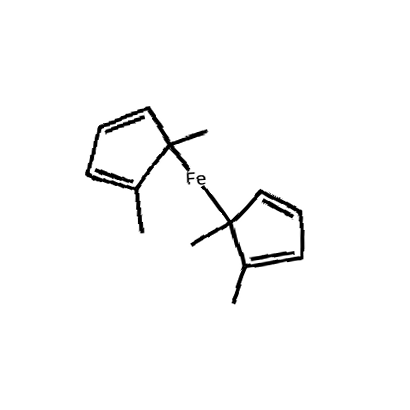 CC1=CC=C[C]1(C)[Fe][C]1(C)C=CC=C1C